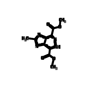 COC(=O)c1n[nH]c(C(=O)OC)c2nc(C)nc1-2